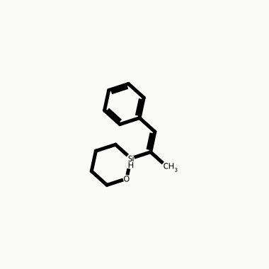 CC(=Cc1ccccc1)[SiH]1CCCCO1